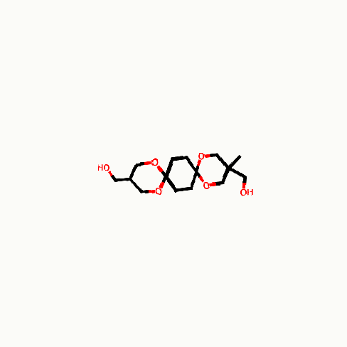 CC1(CO)COC2(CCC3(CC2)OCC(CO)CO3)OC1